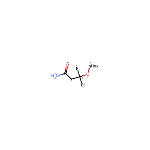 CCCCCCOC(CC)(CC)CC(N)=O